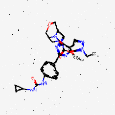 CC(C)(C)OC(=O)N1CC2COCC(C1)N2c1nc(-c2ccc(NC(=O)NC3CC3)cc2)nc2c1cnn2CC(F)(F)F